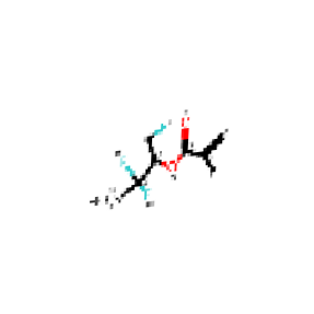 C=C(C)C(=O)OC(CF)C(F)(F)S(=O)(=O)O